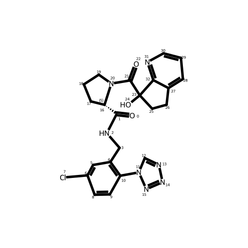 O=C(NCc1cc(Cl)ccc1-n1cnnn1)[C@@H]1CCCN1C(=O)C1(O)CCc2cccnc21